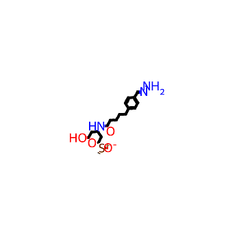 C[S+]([O-])CCC(CC(=O)O)NC(=O)CCCCc1ccc(C=NN)cc1